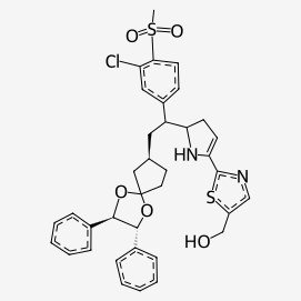 CS(=O)(=O)c1ccc(C(C[C@H]2CCC3(C2)O[C@H](c2ccccc2)[C@@H](c2ccccc2)O3)C2CC=C(c3ncc(CO)s3)N2)cc1Cl